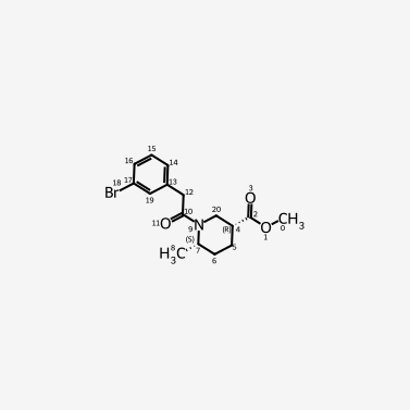 COC(=O)[C@@H]1CC[C@H](C)N(C(=O)Cc2cccc(Br)c2)C1